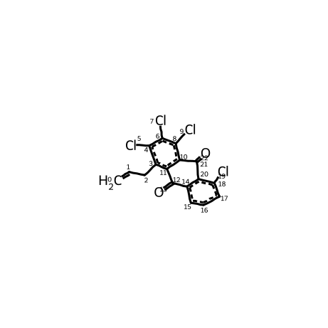 C=CCc1c(Cl)c(Cl)c(Cl)c2c1C(=O)c1cccc(Cl)c1C2=O